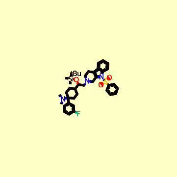 CN(C)C1(c2cccc(F)c2)CCC(C(CN2CCc3c(n(S(=O)(=O)c4ccccc4)c4ccccc34)C2)O[Si](C)(C)C(C)(C)C)CC1